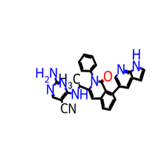 C[C@H](Nc1nc(N)ncc1C#N)c1cc2cccc(-c3cnc4[nH]ccc4c3)c2c(=O)n1-c1ccccc1